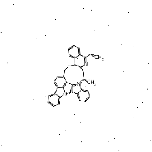 C=CC1=NC2CC(=C)[n+]3c(n(CC)c4ccccc43)-c3c(ccc4c3oc3ccccc34)CCC2c2ccccc21